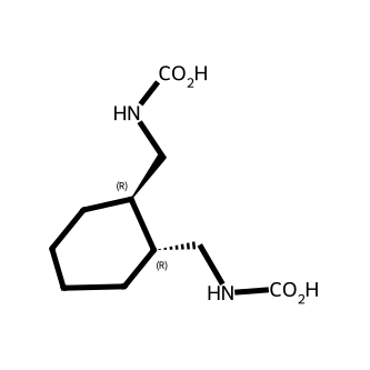 O=C(O)NC[C@@H]1CCCC[C@H]1CNC(=O)O